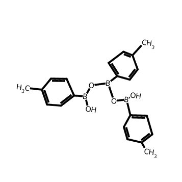 Cc1ccc(B(O)OB(OB(O)c2ccc(C)cc2)c2ccc(C)cc2)cc1